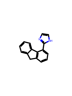 c1ccc2c(c1)Cc1cccc(-c3ncc[nH]3)c1-2